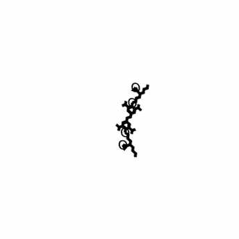 CCCCC(CCCOc1c(C(C)C)cc(CCc2cc(C(C)C)c(OCCCC(CCCC)C3CO3)c(C(C)C)c2)cc1C(C)C)C1CO1